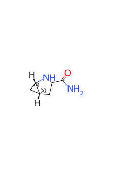 NC(=O)C1C[C@@H]2C[C@@H]2N1